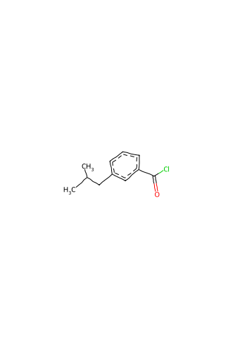 CC(C)Cc1cccc(C(=O)Cl)c1